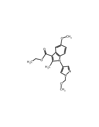 CCOC(=O)c1c(C)n(-c2cnn(COC)c2)c2ccc(OC)cc12